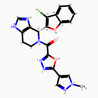 Cn1cc(-c2nnc(C(=O)N3CCc4[nH]cnc4[C@@H]3c3oc4ccccc4c3F)o2)cn1